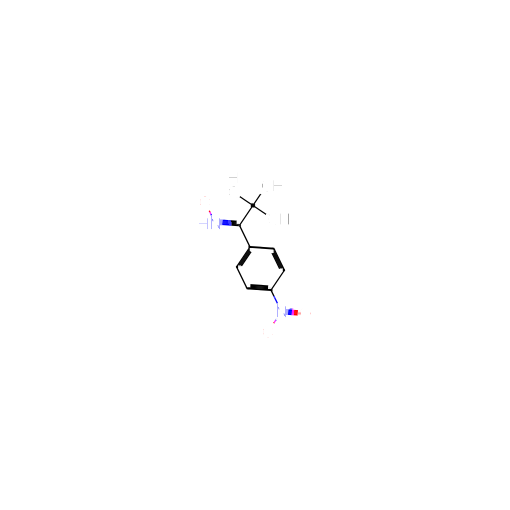 CC(C)(C)C(=[NH+][O-])c1ccc([N+](=O)[O-])cc1